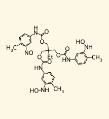 CCC(COC(=O)Nc1ccc(C)c(N=O)c1)(COC(=O)Nc1ccc(C)c(NO)c1)COC(=O)Nc1ccc(C)c(NO)c1